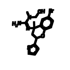 CN(CO)/C(N)=N\C1(C)CC(c2cccs2)Oc2ccc(Br)cc21